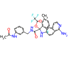 CC(=O)Nc1cccc(CNC(=O)C(Nc2ccc3c(N)nccc3c2)(OC(=O)C(F)(F)F)c2cc(C)ccc2F)c1